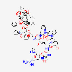 CNCC(=O)C(=O)[C@H](CCCNC(=N)N)NC(=O)[C@H](CO)NC(=O)CNC(=O)CNC(=O)C(Cc1ccc(O)cc1)NC(=O)[C@H](Cc1ccccc1)NC(=O)C(Cc1ccccc1)NC(=O)C(NC(=O)CCC(=O)O[C@@H](C(=O)O[C@H]1C[C@@]2(O)[C@@H](OC(=O)c3ccccc3)[C@H]3[C@](C)(C(=O)[C@H](C)C(=C1C)C2(C)C)[C@@H](O)CC1OC[C@]13OC(C)=O)[C@@H](NC(=O)c1ccccc1)c1ccccc1)C(C)O